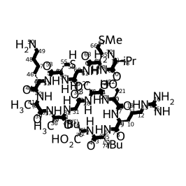 CC[C@H](C)[C@H](NC(=O)[C@@H](NC(=O)[C@H](CCCNC(=N)N)NC(=O)[C@H](CO)NC(=O)[C@H](C)NC(=O)CNC(=O)[C@H](C)NC(=O)[C@H](C)NC(=O)[C@H](CCCCN)NC(=O)[C@H](CS)NC(=O)CNC(=O)[C@H](CCSC)NC(=O)[C@@H](N)C(C)C)[C@@H](C)CC)C(=O)O